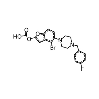 O=C(O)Oc1cc2c(Br)c(N3CCN(Cc4ccc(F)cc4)CC3)ccc2o1